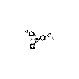 CC(O)c1ccc(-c2nc(-c3ccccn3)n(C)c2Sc2ccc(Cl)cc2)cc1